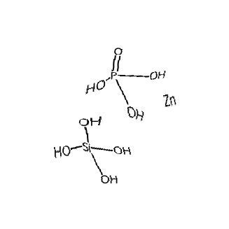 O=P(O)(O)O.O[Si](O)(O)O.[Zn]